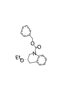 CCO[C@H]1Cc2ccccc2N(C(=O)OCc2ccccc2)C1